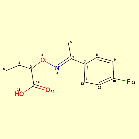 CCC(ON=C(C)c1ccc(F)cc1)C(=O)O